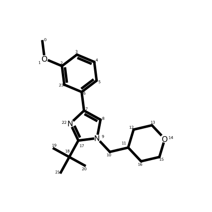 COc1cccc(-c2cn(CC3CCOCC3)c(C(C)(C)C)n2)c1